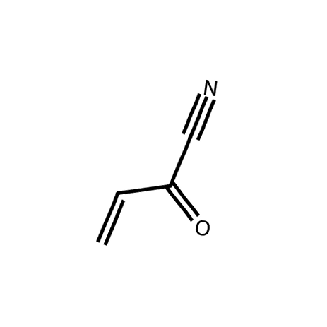 C=CC(=O)C#N